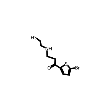 O=C(CCNCCS)c1ccc(Br)s1